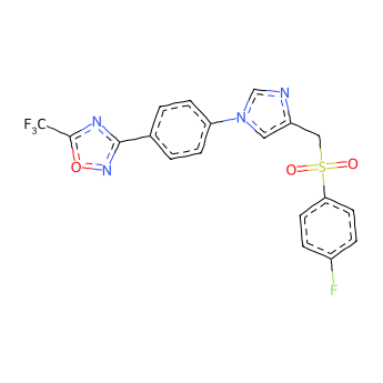 O=S(=O)(Cc1cn(-c2ccc(-c3noc(C(F)(F)F)n3)cc2)cn1)c1ccc(F)cc1